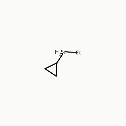 CC[SiH2]C1CC1